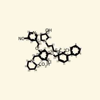 CC1(C(F)(F)F)C(c2ccccc2)=CC=CC1(COc1cc(OCc2cncc(C#N)c2)c(CN2CCCC[C@H]2C(=O)O)cc1Cl)OCCCN1CC[C@@H](O)C1